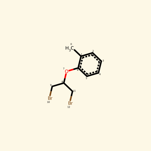 Cc1ccccc1OC(CBr)CBr